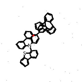 c1ccc(-c2ccccc2N(c2ccc(-c3ccc4c(c3)-c3c5cccc3-c3cccc-4c3-c3ccccc3-5)cc2)c2cccc3c2sc2ccccc23)cc1